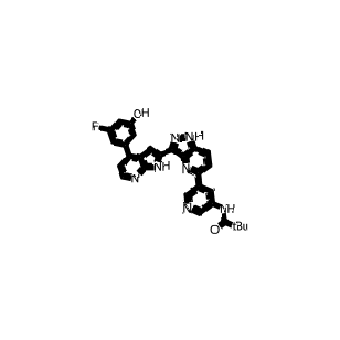 CC(C)(C)C(=O)Nc1cncc(-c2ccc3[nH]nc(-c4cc5c(-c6cc(O)cc(F)c6)ccnc5[nH]4)c3n2)c1